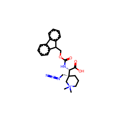 C[N+]1(C)CCC[C@](CN=[N+]=[N-])([C@H](NC(=O)OCC2c3ccccc3-c3ccccc32)C(=O)O)C1